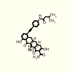 CN(C)CC(=O)Nc1ccc(C#Cc2ccc(O)c3c2C[C@H]2C[C@H]4CC(O)=C(C(N)=O)C(=O)[C@@]4(O)C(O)=C2C3=O)cc1